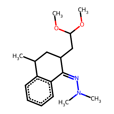 COC(CC1CC(C)c2ccccc2/C1=N\N(C)C)OC